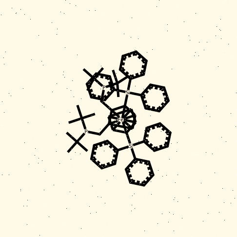 CC(C)(C)P(C[C]12[CH]3[CH]4[C]5([Si](c6ccccc6)(c6ccccc6)c6ccccc6)[C]1(CP(C(C)(C)C)C(C)(C)C)[Fe]34251678[CH]2[CH]1[CH]6[C]7([Si](c1ccccc1)(c1ccccc1)c1ccccc1)[CH]28)C(C)(C)C